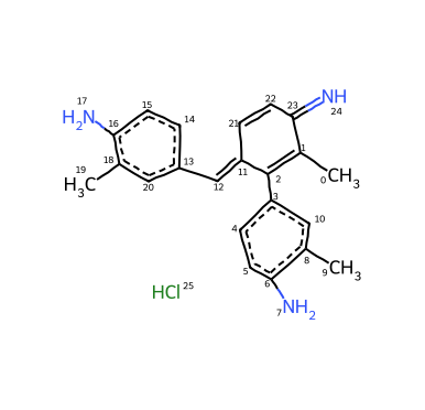 CC1=C(c2ccc(N)c(C)c2)C(=Cc2ccc(N)c(C)c2)C=CC1=N.Cl